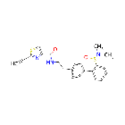 C#Cc1nc(C(=O)NCCc2ccc(-c3ccccc3[S+]([O-])N(C)C)cc2)cs1